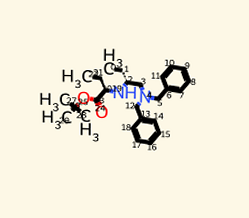 CC[C@H](CN(Cc1ccccc1)Cc1ccccc1)N[C@H](CC)C(=O)OC(C)(C)C